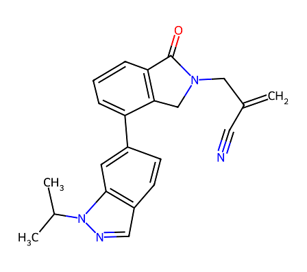 C=C(C#N)CN1Cc2c(cccc2-c2ccc3cnn(C(C)C)c3c2)C1=O